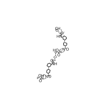 COCC[S+]([O-])Nc1cccc(-c2ccc(C(=O)N3CCN(C(=O)C4(O)CC4C4CC(C[S+]([O-])Nc5cccc(-c6ccc(C(=O)N7CCN(C(=O)C8(O)CC8)CC7)cc6)c5)C4)CC3)cc2)c1